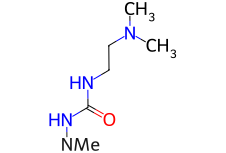 CNNC(=O)NCCN(C)C